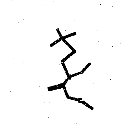 C=C(CCC)N(CC)CCC(C)(C)C